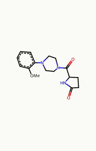 COc1ccccc1N1CCN(C(=O)C2CCC(=O)N2)CC1